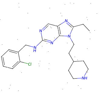 CCc1nc2cnc(NCc3ccccc3Cl)nc2n1CCC1CCNCC1